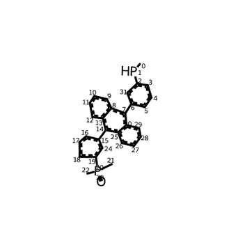 CPc1cccc(-c2c3ccccc3c(-c3cccc(P(C)(C)=O)c3)c3ccccc23)c1